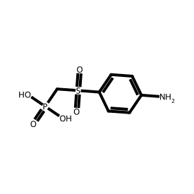 Nc1ccc(S(=O)(=O)CP(=O)(O)O)cc1